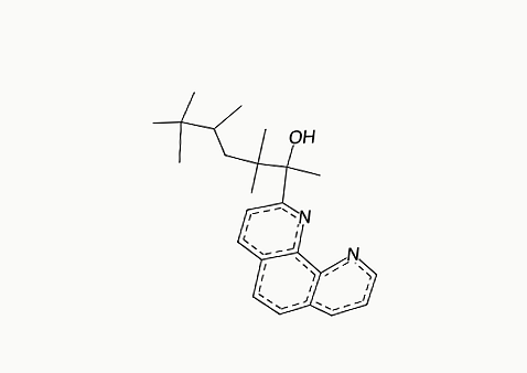 CC(CC(C)(C)C(C)(O)c1ccc2ccc3cccnc3c2n1)C(C)(C)C